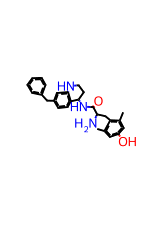 Cc1cc(O)cc(C)c1CC(N)C(=O)NC1CCNc2cc(Cc3ccccc3)ccc21